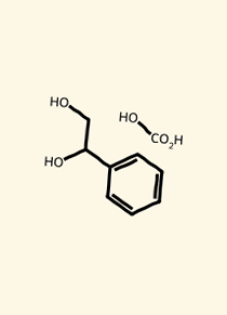 O=C(O)O.OCC(O)c1ccccc1